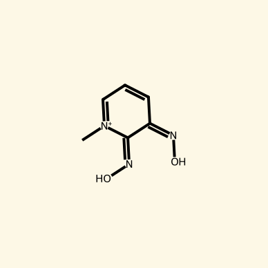 C[N+]1=CC=CC(=NO)C1=NO